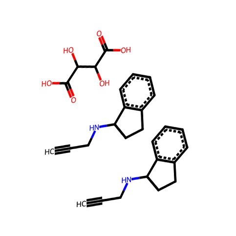 C#CCNC1CCc2ccccc21.C#CCNC1CCc2ccccc21.O=C(O)C(O)C(O)C(=O)O